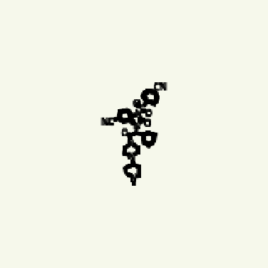 CN1CCC(N2CCN(C(=O)C(c3ccccc3)n3c(=O)n(S(=O)(=O)c4ccc(C#N)cc4)c4ccc(C#N)cc43)CC2)CC1